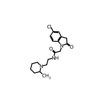 CC1CCCCN1CCNC(=O)CN1C(=O)Cc2cc(Cl)ccc21